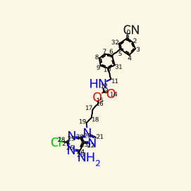 N#Cc1cccc(-c2cccc(CNC(=O)OCCCCn3cnc4c(N)nc(Cl)nc43)c2)c1